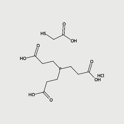 Cl.O=C(O)CCP(CCC(=O)O)CCC(=O)O.O=C(O)CS